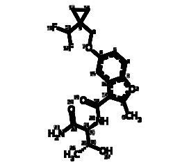 Cc1oc2ccc(OCC3(C(F)F)CC3)cc2c1C(=O)N[C@H](C(N)=O)[C@@H](C)O